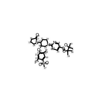 CC1(C)OB(c2cnc(N3CCC(N4CCCC4=O)[C@H](Oc4cc(F)c(S(C)(=O)=O)cc4F)C3)nc2)OC1(C)C